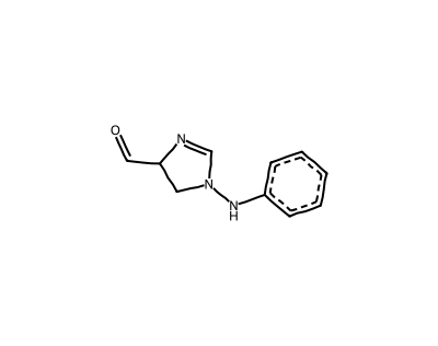 O=CC1CN(Nc2ccccc2)C=N1